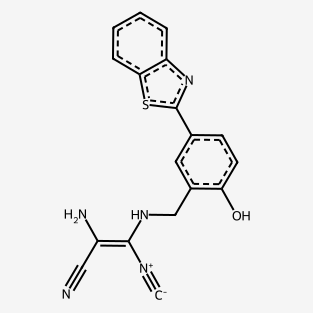 [C-]#[N+]/C(NCc1cc(-c2nc3ccccc3s2)ccc1O)=C(/N)C#N